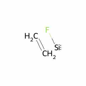 C=C.F[Si]